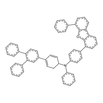 C1=CC(N(c2ccccc2)c2ccc(-c3cccc4c3oc3c(-c5ccccc5)cccc34)cc2)CC=C1c1ccc(-c2ccccc2)c(-c2ccccc2)c1